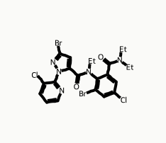 CCN(CC)C(=O)c1cc(Cl)cc(Br)c1N(CC)C(=O)c1cc(Br)nn1-c1ncccc1Cl